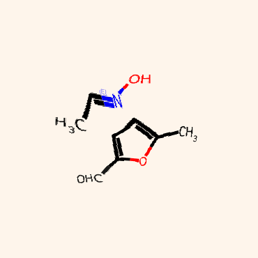 C/C=N/O.Cc1ccc(C=O)o1